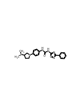 CN(C)C1CCN(c2ccc(NC(=O)Nc3nc(-c4ccccc4)ns3)cc2)C1